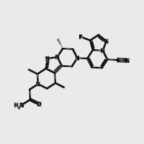 CC1CN(CC(N)=O)C(C)c2nn3c(c21)CN(c1ccc(C#N)n2ncc(F)c12)C[C@H]3C